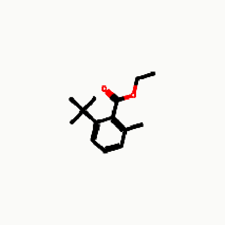 CCOC(=O)c1c(C)cccc1C(C)(C)C